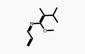 C=C/C=N\C(OC)=C(/C)C(C)C